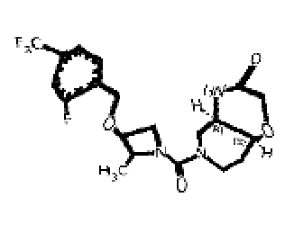 CC1C(OCc2ccc(C(F)(F)F)cc2F)CN1C(=O)N1CC[C@@H]2OCC(=O)N[C@@H]2C1